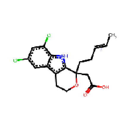 C/C=C/CCC1(CC(=O)O)OCCc2c1[nH]c1c(Cl)cc(Cl)cc21